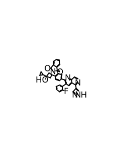 O=C1c2ccccc2C(=O)N1[C@]1(c2ccc(-c3nc4ccnc(-c5cn[nH]c5)c4cc3-c3ccccc3F)cc2)C[C@](O)(C2CC2)C1